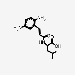 CC(C)CC(NC(=O)C=Cc1cc(N)ccc1N)C(=O)O